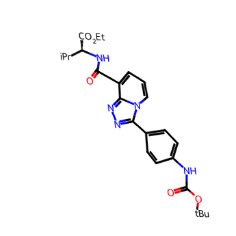 CCOC(=O)[C@@H](NC(=O)c1cccn2c(-c3ccc(NC(=O)OC(C)(C)C)cc3)nnc12)C(C)C